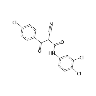 N#CC(C(=O)Nc1ccc(Cl)c(Cl)c1)C(=O)c1ccc(Cl)cc1